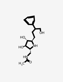 CC(=O)NC[C@H]1N[C@H](CCC(CO)c2ccccc2)[C@@H](O)[C@@H]1O